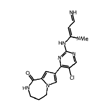 CN/C(=C\C=N)Nc1ncc(Cl)c(-c2cc3n(c2)CCCNC3=O)n1